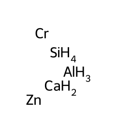 [AlH3].[CaH2].[Cr].[SiH4].[Zn]